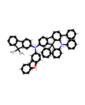 CC1(C)c2ccccc2-c2ccc(N(c3ccc4c(c3)C3(c5ccccc5)c5ccccc5N(c5ccccc5)c5c(-c6ccccc6)ccc-4c53)c3ccc4oc5ccccc5c4c3)cc21